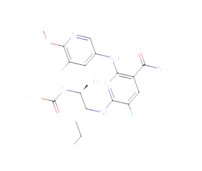 CCC[C@@H](Nc1nc(Nc2cnc(OC)c(F)c2)c(C(N)=O)cc1F)[C@H](C)NC(=O)O